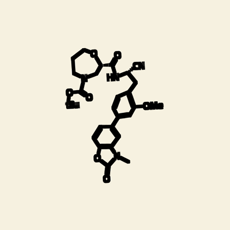 COc1cc(-c2ccc3oc(=O)n(C)c3c2)ccc1C[C@@H](C#N)NC(=O)[C@@H]1CN(C(=O)OC(C)(C)C)CCCO1